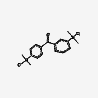 C[Si](C)(Cl)c1ccc(C(=O)c2cccc([Si](C)(C)Cl)c2)cc1